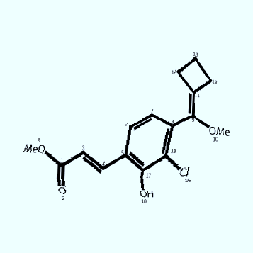 COC(=O)/C=C/c1ccc(C(OC)=C2CCC2)c(Cl)c1O